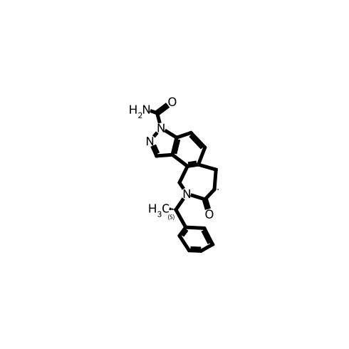 C[C@@H](c1ccccc1)N1Cc2c(ccc3c2cnn3C(N)=O)C[CH]C1=O